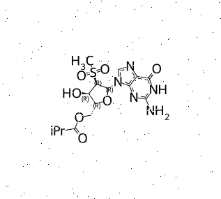 CC(C)C(=O)OC[C@H]1O[C@@H](n2cnc3c(=O)[nH]c(N)nc32)[C@H](S(C)(=O)=O)[C@@H]1O